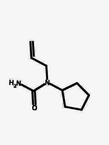 C=CCN(C(N)=O)C1CCCC1